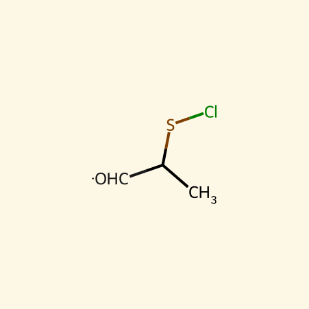 CC([C]=O)SCl